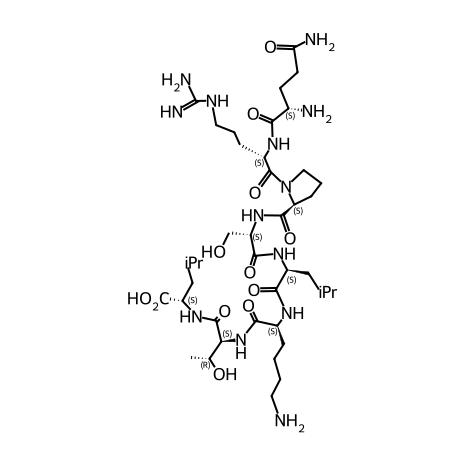 CC(C)C[C@H](NC(=O)[C@@H](NC(=O)[C@H](CCCCN)NC(=O)[C@H](CC(C)C)NC(=O)[C@H](CO)NC(=O)[C@@H]1CCCN1C(=O)[C@H](CCCNC(=N)N)NC(=O)[C@@H](N)CCC(N)=O)[C@@H](C)O)C(=O)O